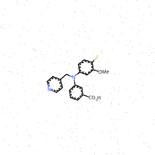 COc1cc(N(Cc2ccncc2)c2cccc(C(=O)O)c2)ccc1F